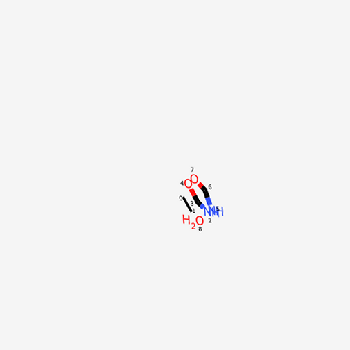 CC.N=C=O.N=C=O.O